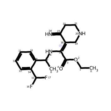 CCOC(=O)/C(NC(C)c1ccccc1C(F)F)=C1\CNCCC1=N